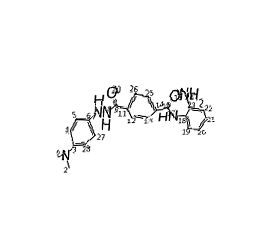 CN(C)c1ccc(NNC(=O)c2ccc(C(=O)Nc3ccccc3N)cc2)cc1